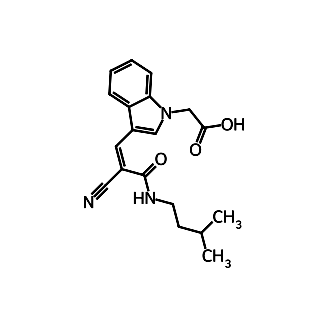 CC(C)CCNC(=O)C(C#N)=Cc1cn(CC(=O)O)c2ccccc12